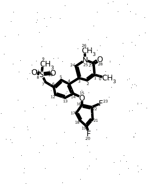 Cc1cc(-c2cc(CS(C)(=O)=O)ccc2Oc2ccc(F)cc2F)cn(C)c1=O